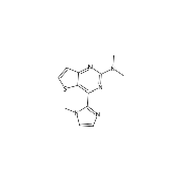 CN(C)c1nc(-c2nccn2C)c2sccc2n1